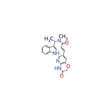 CC(c1c[nH]c2ccccc12)N(C)C(=O)/C=C/c1cnc2c(c1)OCC(=O)N2